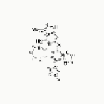 Cn1cc(-c2ccc(Nc3nc(NC4CCCCCC4)c4c(C#N)c[nH]c4n3)c3c2OCCO3)cn1